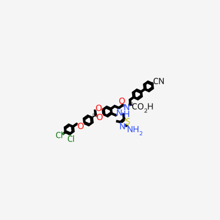 Cc1nc(N)sc1CN1Cc2cc3c(cc2CC1C(=O)N[C@@H](Cc1ccc(-c2ccc(C#N)cc2)cc1)C(=O)O)OC[C@H](c1ccc(OCc2ccc(Cl)c(Cl)c2)cc1)O3